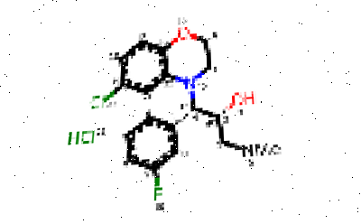 CNC[C@@H](O)[C@H](c1cccc(F)c1)N1CCOc2ccc(Cl)cc21.Cl